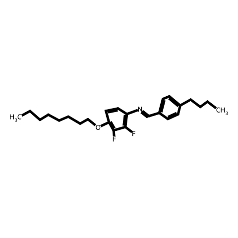 CCCCCCCCOc1ccc(N=Cc2ccc(CCCC)cc2)c(F)c1F